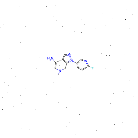 CN1C=C(N)c2cnn(-c3ccc(F)nc3)c2C1